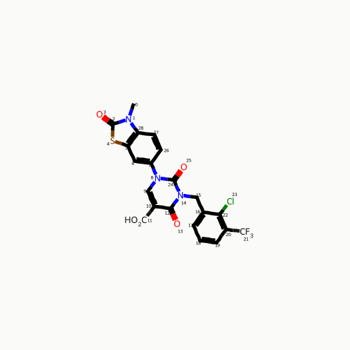 Cn1c(=O)sc2cc(-n3cc(C(=O)O)c(=O)n(Cc4cccc(C(F)(F)F)c4Cl)c3=O)ccc21